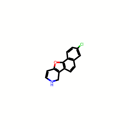 Clc1ccc2c(ccc3c4c(oc32)C=CNC4)c1